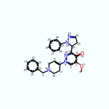 COc1cn(C2=CCN(Cc3ccccc3)CC2)nc(C2CC=NN2c2ccccc2)c1=O